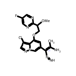 COC(COc1cc(/C(N=N)=C(\C)N)cn2ncc(Cl)c12)c1ncc(F)cn1